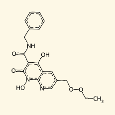 CCOOCc1cnc2c(c1)c(O)c(C(=O)NCc1ccccc1)c(=O)n2O